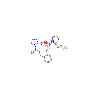 O=C(O)C1CCCN1C(=O)CCc1ccccc1CCC(=O)N1CCC[C@@H]1C(=O)O